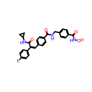 O=C(NC1CC1)C(=Cc1ccc(C(=O)NCc2ccc(C(=O)NO)cc2)cc1)c1ccc(F)cc1